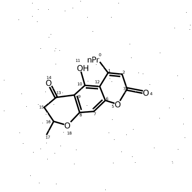 CCCc1cc(=O)oc2cc3c(c(O)c12)C(=O)CC(C)O3